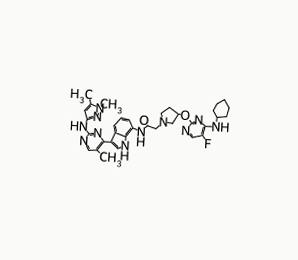 Cc1cnc(Nc2cc(C)n(C)n2)nc1-c1c[nH]c2c(NC(=O)CN3CCC(Oc4ncc(F)c(NC5CCCCC5)n4)C3)cccc12